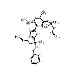 C=CCCC(OCc1ccccc1)(c1nnc(-c2nc(CC(C)(C)CC=C)c(C(F)(F)F)cc2NC=O)o1)C(F)(F)F